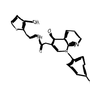 O=C(NCc1sccc1O)c1cn(-c2ccc(F)cc2)c2ncccc2c1=O